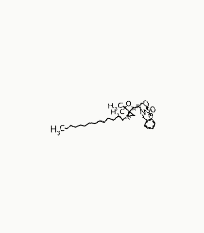 CCCCCCCCCCCCCC[C@@H]1CC12[C@@H]([C@H]1COS(=O)(=O)N1Cc1ccccc1)OC2(C)C